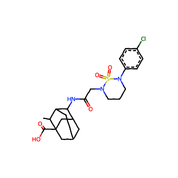 CC1C2CC3CC(CC1(C(=O)O)C3)C2NC(=O)CN1CCCN(c2ccc(Cl)cc2)S1(=O)=O